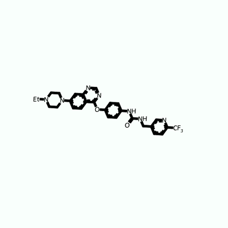 CCN1CCN(c2ccc3c(Oc4ccc(NC(=O)NCc5ccc(C(F)(F)F)nc5)cc4)ncnc3c2)CC1